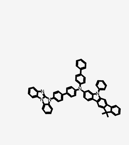 CC1(C)c2ccccc2-c2cc3c(cc21)c1ccc(N(c2ccc(-c4ccccc4)cc2)c2ccc(-c4ccc(-n5c6ccccc6n6c7ccccc7nc56)cc4)cc2)cc1n3-c1ccccc1